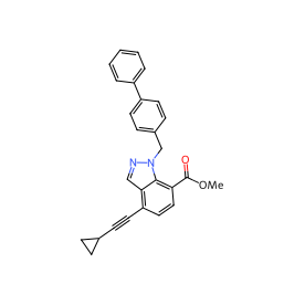 COC(=O)c1ccc(C#CC2CC2)c2cnn(Cc3ccc(-c4ccccc4)cc3)c12